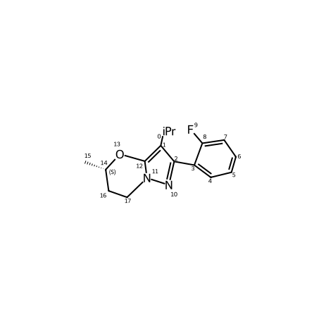 CC(C)c1c(-c2ccccc2F)nn2c1O[C@@H](C)CC2